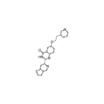 O=c1[nH]c(-c2cc3sccc3cn2)nc2ccc(OCCc3cccnc3)cc12